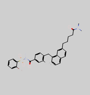 COc1cc(C(=O)NS(=O)(=O)c2ccccc2Br)ccc1Cc1cccc2ccc(CCCCC(=O)N(C)C)cc12